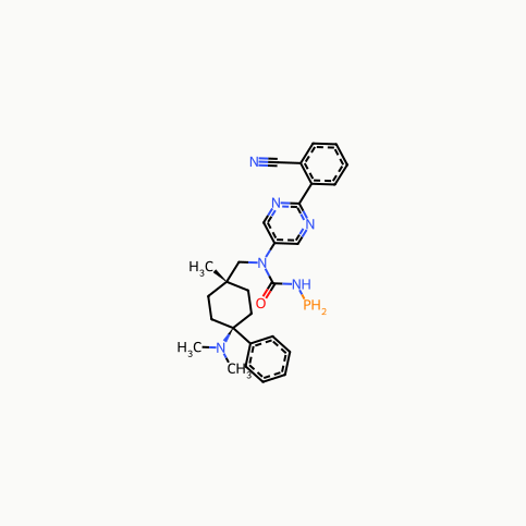 CN(C)[C@]1(c2ccccc2)CC[C@@](C)(CN(C(=O)NP)c2cnc(-c3ccccc3C#N)nc2)CC1